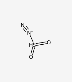 N#[N+][SH](=O)=O